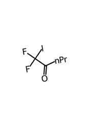 CCCC(=O)C(F)(F)I